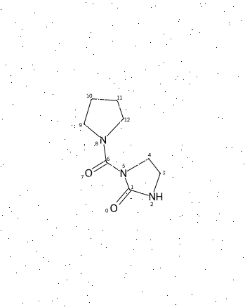 O=C1NCCN1C(=O)N1CCCC1